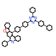 c1ccc(-c2ccc(-c3nc(-c4ccccc4)nc(-c4ccc(-c5ccc(-c6c7c(cc8c(-c9ccccc9)nc9ccccc9c68)oc6ccccc67)cc5)cc4)n3)cc2)cc1